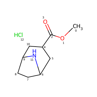 COC(=O)C1CC2CCC(C1)N2.Cl